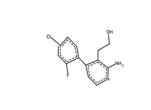 Nc1nccc(-c2ccc(Cl)cc2F)c1CCO